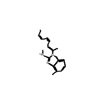 C\C=C/C=C\C=C(/C)n1c(NC)nc2c(C)cccc21